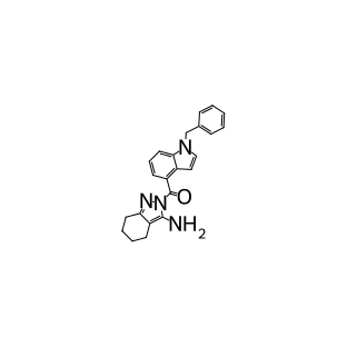 Nc1c2c(nn1C(=O)c1cccc3c1ccn3Cc1ccccc1)CCCC2